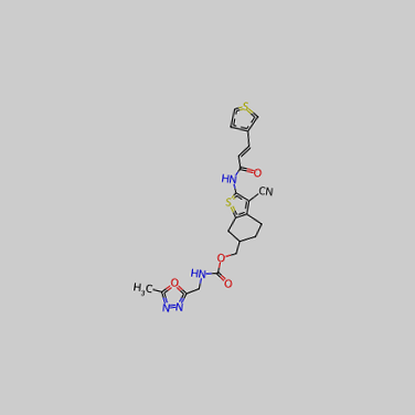 Cc1nnc(CNC(=O)OCC2CCc3c(sc(NC(=O)C=Cc4ccsc4)c3C#N)C2)o1